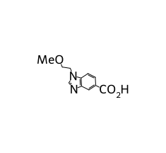 COCCn1cnc2cc(C(=O)O)ccc21